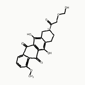 COc1cccc2c1C(=O)c1c(O)c3c(c(O)c1C2=O)C[C@@H](C(=O)COCO)CC3